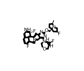 C#Cc1c(F)ccc2cc(N)cc(-c3ncc4c(N5CCOC[C@H]6[C@H](F)[C@H]65)nc(OC[C@@]56CC[C@@H](C)N5C[C@H](F)C6)nc4c3F)c12